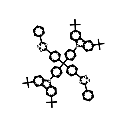 CC(C)(C)c1ccc2c(c1)c1cc(C(C)(C)C)ccc1n2-c1ccc(C(c2ccc(-c3nnc(-c4ccccc4)s3)cc2)(c2ccc(-c3nnc(-c4ccccc4)s3)cc2)c2ccc(-n3c4ccc(C(C)(C)C)cc4c4cc(C(C)(C)C)ccc43)cc2)cc1